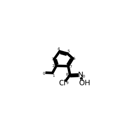 CCc1ccccc1C(Cl)=NO